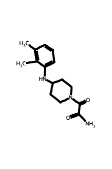 Cc1cccc(NC2CCN(C(=O)C(N)=O)CC2)c1C